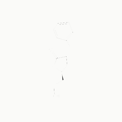 COC[C@@H]1C[C@@H](Cc2ccccc2)C(=O)O1